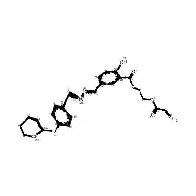 C=CC(=O)OCCOC(=O)c1cc(/C=N/N=C/c2ccc(OC3CCCCO3)cc2)ccc1O